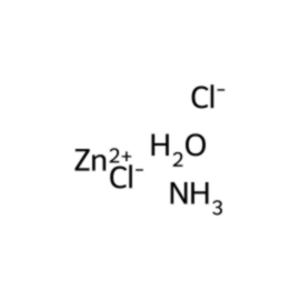 N.O.[Cl-].[Cl-].[Zn+2]